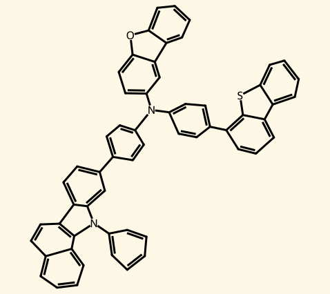 c1ccc(-n2c3cc(-c4ccc(N(c5ccc(-c6cccc7c6sc6ccccc67)cc5)c5ccc6oc7ccccc7c6c5)cc4)ccc3c3ccc4ccccc4c32)cc1